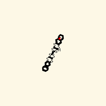 C1=CC2CCC1c1cc3c(cc12)SC1SC(=C2SC4Sc5cc6c(cc5S[C@H]4S2)C2CCC6CC2)SC1S3